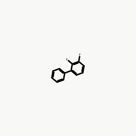 Fc1cccc(-c2c[c]ccc2)c1F